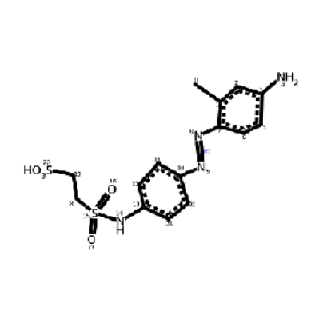 Cc1cc(N)ccc1/N=N/c1ccc(NS(=O)(=O)CCS(=O)(=O)O)cc1